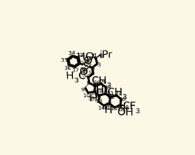 CC(C)[C@H](O)CC(C[C@@H](C)[C@H]1CC[C@H]2[C@@H]3CC[C@H]4C[C@](O)(C(F)(F)F)CC[C@]4(C)C3CC[C@]12C)S(=O)(=O)c1ccccc1